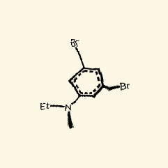 CCN(C)c1cc(Br)cc(Br)c1